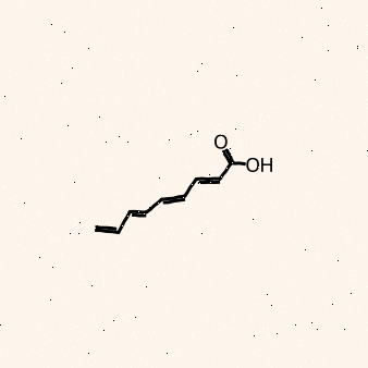 C=C/C=C/C=C/C=C/C(=O)O